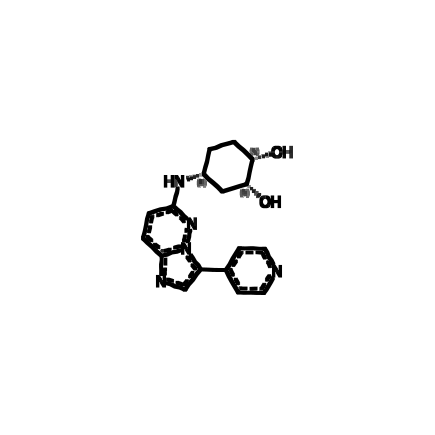 O[C@@H]1C[C@H](Nc2ccc3ncc(-c4ccncc4)n3n2)CC[C@@H]1O